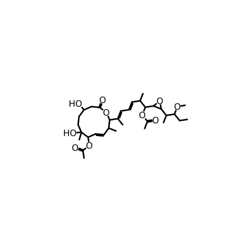 CCC(OC)C(C)C1OC1C(OC(C)=O)C(C)/C=C/C=C(\C)C1OC(=O)CC(O)CCC(C)(O)C(OC(C)=O)/C=C/C1C